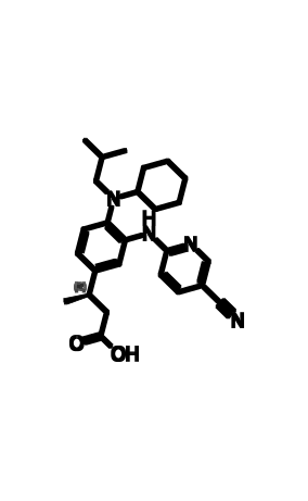 CC(C)CN(c1ccc([C@H](C)CC(=O)O)cc1Nc1ccc(C#N)cn1)C1CCCCC1